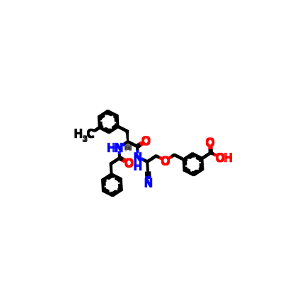 Cc1cccc(C[C@H](NC(=O)Cc2ccccc2)C(=O)NC(C#N)COCc2cccc(C(=O)O)c2)c1